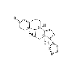 C[C@]12CCC3[C@@H](CCC4=CC(=O)CC[C@@]43C)C1=CC=C2n1ccnc1